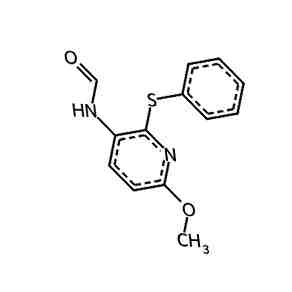 COc1ccc(NC=O)c(Sc2ccccc2)n1